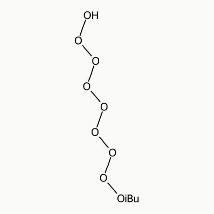 CC(C)COOOOOOOOO